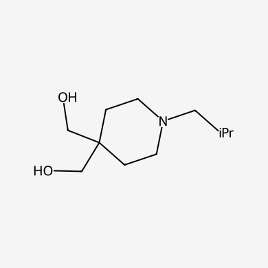 CC(C)CN1CCC(CO)(CO)CC1